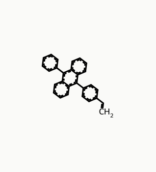 C=Cc1ccc(-c2c3ccccc3c(-c3ccccc3)c3ccccc23)cc1